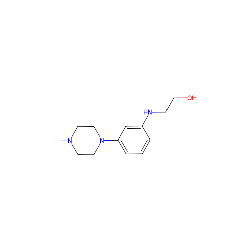 CN1CCN(c2cc[c]c(NCCO)c2)CC1